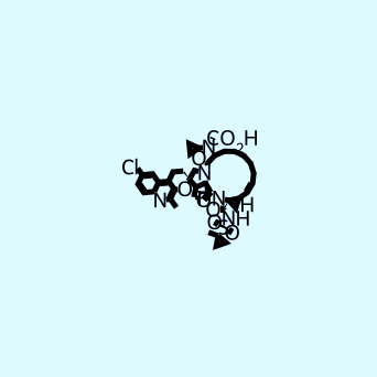 Cc1nc2ccc(Cl)cc2c2c1O[C@@]1(CC2)CN2C(=O)[C@@H](N(C(=O)O)C3CC3)CCCCC/C=C\[C@@H]3C[C@@]3(C(=O)NS(=O)(=O)C3(C)CC3)NC(=O)[C@@H]2C1C